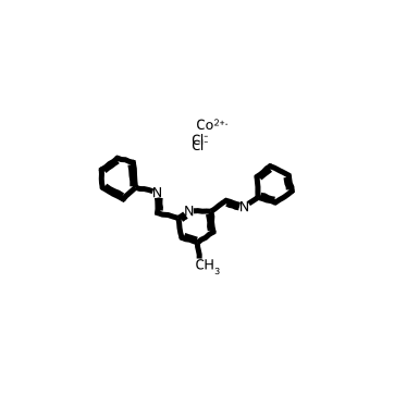 Cc1cc(C=Nc2ccccc2)nc(C=Nc2ccccc2)c1.[Cl-].[Cl-].[Co+2]